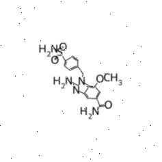 COc1cc(C(N)=O)cc2nc(N)n(Cc3ccc(S(N)(=O)=O)cc3)c12